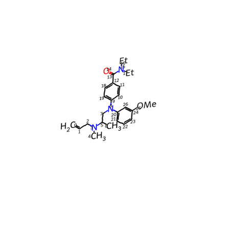 C=CCN(C)C(C)CN(c1ccc(C(=O)N(CC)CC)cc1)c1cccc(OC)c1